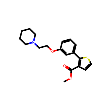 COC(=O)c1ccsc1-c1cccc(OCCN2CCCCC2)c1